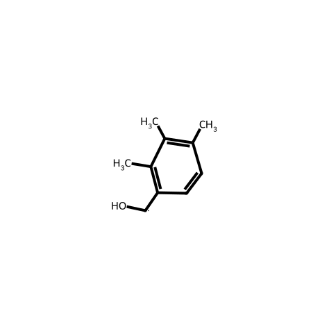 Cc1ccc([CH]O)c(C)c1C